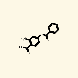 Nc1cc(OC(=O)c2ccccc2)ccc1C(=O)O